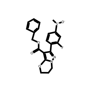 C[S+]([O-])c1ccc(-c2nn3c(c2C(=O)OCc2ccccc2)OCCC3)c(F)c1